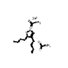 CCCCC1=CSSC1CCCC.NC(=O)[O-].NC(=O)[O-].[Zn+2]